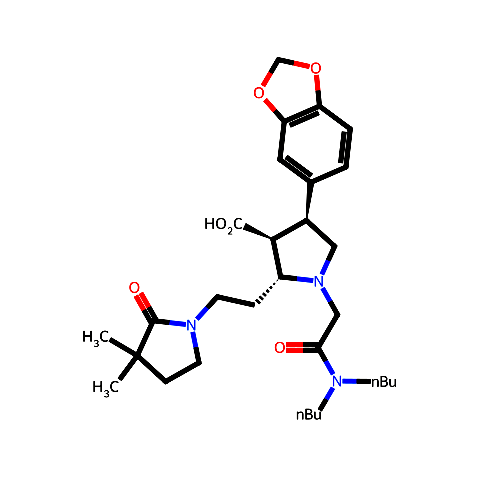 CCCCN(CCCC)C(=O)CN1C[C@H](c2ccc3c(c2)OCO3)[C@H](C(=O)O)[C@H]1CCN1CCC(C)(C)C1=O